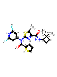 Cc1sc(N(C(=O)c2cccs2)c2cc(F)nc(F)c2)nc1C(=O)NC1CCC1(C)C